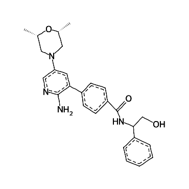 C[C@@H]1CN(c2cnc(N)c(-c3ccc(C(=O)NC(CO)c4ccccc4)cc3)c2)C[C@H](C)O1